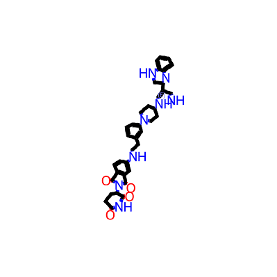 N=C/C(=C\NC1CCN(c2cccc(CCNc3ccc4c(c3)C(=O)N(C3CCC(=O)NC3=O)C4=O)c2)CC1)C1=Nc2ccccc2NC1